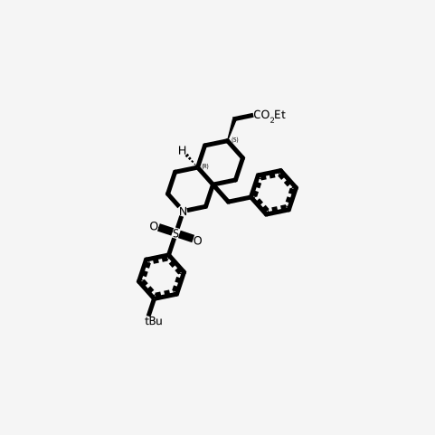 CCOC(=O)C[C@H]1CCC2(Cc3ccccc3)CN(S(=O)(=O)c3ccc(C(C)(C)C)cc3)CC[C@H]2C1